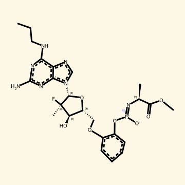 CCCNc1nc(N)nc2c1ncn2[C@@H]1O[C@H](COc2ccccc2O/[P+]([O-])=N/[C@@H](C)C(=O)OC)[C@@H](O)[C@@]1(C)F